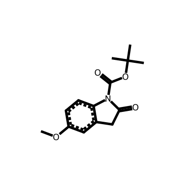 COc1ccc2c(c1)CC(=O)N2C(=O)OC(C)(C)C